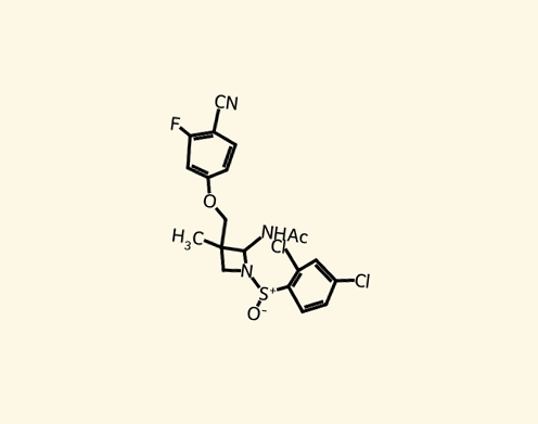 CC(=O)NC1N([S+]([O-])c2ccc(Cl)cc2Cl)CC1(C)COc1ccc(C#N)c(F)c1